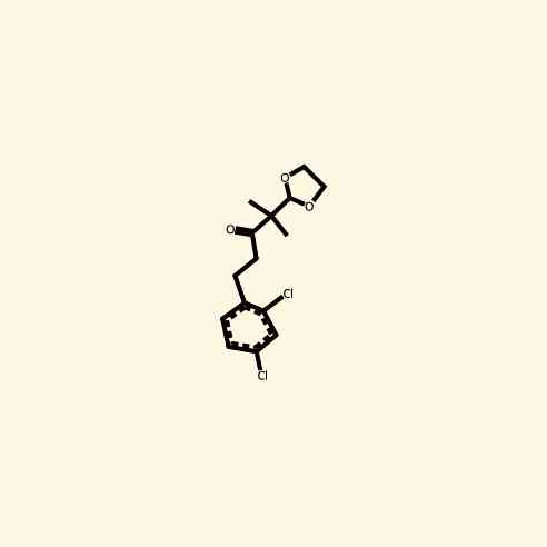 CC(C)(C(=O)CCc1ccc(Cl)cc1Cl)C1OCCO1